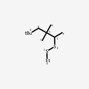 CCSSC(C)C(C)(C)CC(C)(C)C